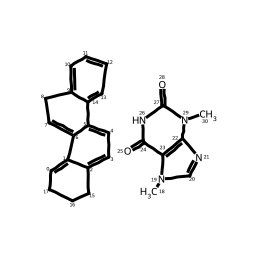 C1=c2c(ccc3c2=CCc2ccccc2-3)CCC1.Cn1cnc2c1c(=O)[nH]c(=O)n2C